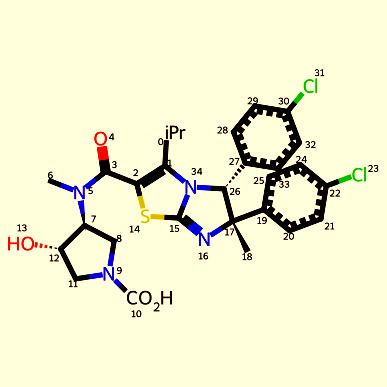 CC(C)C1=C(C(=O)N(C)[C@H]2CN(C(=O)O)C[C@@H]2O)SC2=N[C@@](C)(c3ccc(Cl)cc3)[C@@H](c3ccc(Cl)cc3)N21